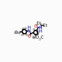 CCC(CC)NC(=O)c1ccc(C(=O)O)c(C(=O)Nc2ccc(C(C)CC)cc2)c1